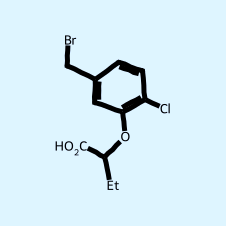 CCC(Oc1cc(CBr)ccc1Cl)C(=O)O